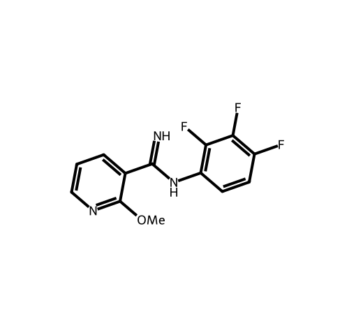 COc1ncccc1C(=N)Nc1ccc(F)c(F)c1F